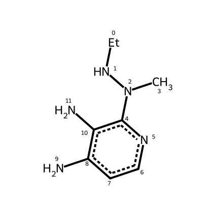 CCNN(C)c1nccc(N)c1N